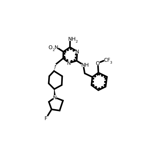 Nc1nc(NCc2ccccc2OC(F)(F)F)nc(C[C@H]2CC[C@H](N3CCC(F)C3)CC2)c1[N+](=O)[O-]